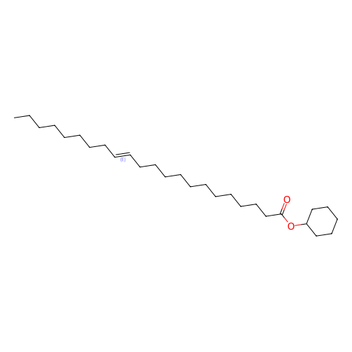 CCCCCCCC/C=C/CCCCCCCCCCCC(=O)OC1CCCCC1